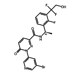 C[C@@H](NC(=O)c1ccc(=O)n(-c2cncc(Br)c2)n1)c1cccc(C(F)(F)CO)c1F